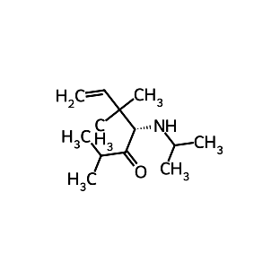 C=CC(C)(C)[C@H](NC(C)C)C(=O)C(C)C